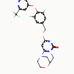 O=c1nc(OCc2cc(F)c(Oc3ccnc(C(F)(F)F)c3)c(F)c2)cc2n1CC1CN2CCO1